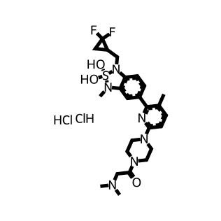 Cc1ccc(N2CCN(C(=O)CN(C)C)CC2)nc1-c1ccc2c(c1)N(C)S(O)(O)N2CC1CC1(F)F.Cl.Cl